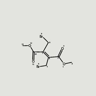 COC(=O)C(CBr)=C(CBr)C(=O)OC